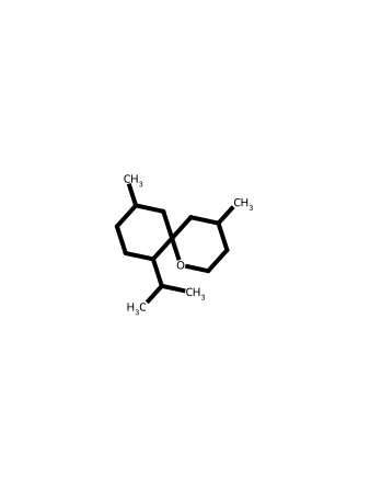 CC1CCOC2(C1)CC(C)CCC2C(C)C